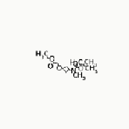 CCOC(=O)COC1CC(N(C)C(=O)OC(C)(C)C)C1